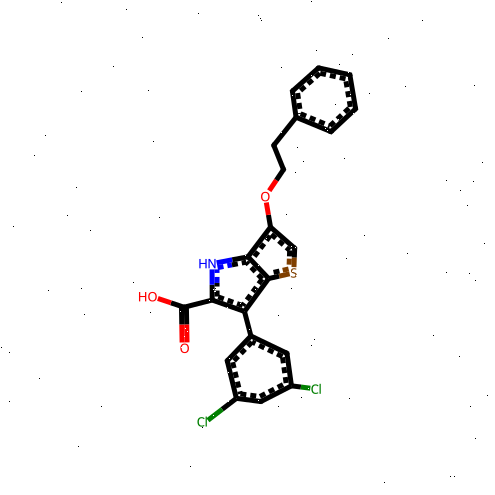 O=C(O)c1[nH]c2c(OCCc3ccccc3)csc2c1-c1cc(Cl)cc(Cl)c1